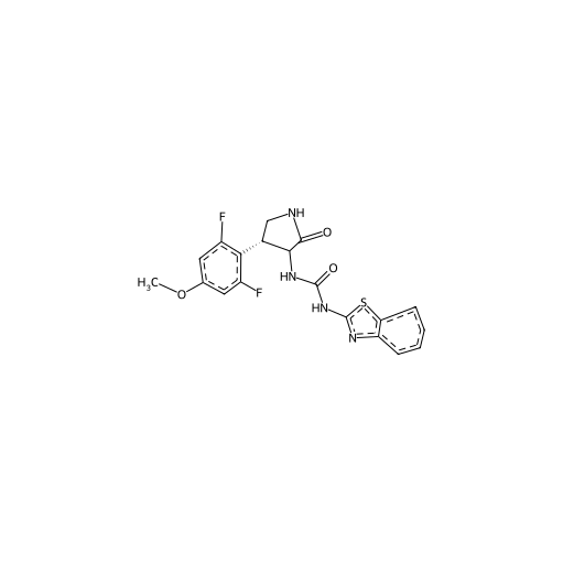 COc1cc(F)c([C@@H]2CNC(=O)C2NC(=O)Nc2nc3ccccc3s2)c(F)c1